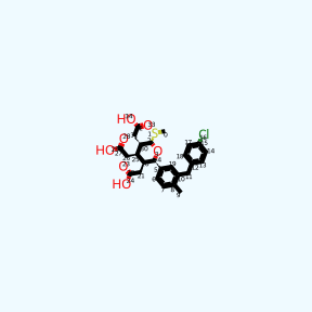 CS[C@H]1O[C@H](c2ccc(C)c(Cc3ccc(Cl)cc3)c2)[C@@H](CC(=O)O)[C@@H](CC(=O)O)[C@@H]1CC(=O)O